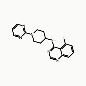 Fc1cccc2ncnc(NC3CCN(c4ncccn4)CC3)c12